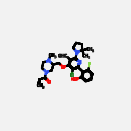 C=CC(=O)N1CCN(C)C(COc2c(Cl)c(-c3c(O)cccc3F)nc(N3CCCC3(C)C)c2C=O)C1